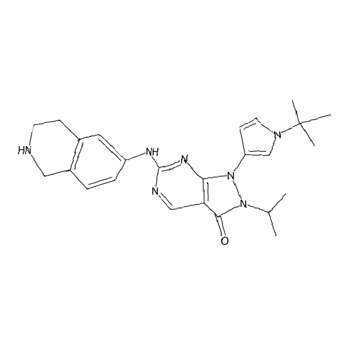 CC(C)n1c(=O)c2cnc(Nc3ccc4c(c3)CCNC4)nc2n1-c1ccn(C(C)(C)C)c1